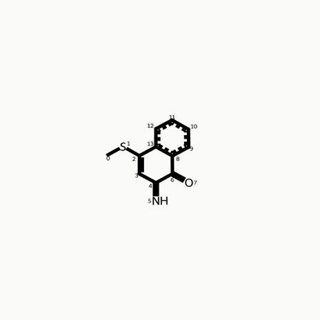 CSC1=CC(=N)C(=O)c2ccccc21